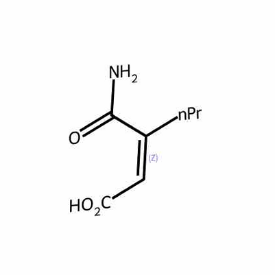 CCC/C(=C/C(=O)O)C(N)=O